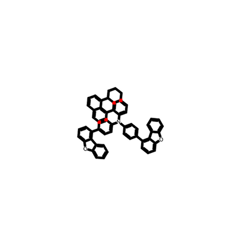 c1ccc(N(c2ccc(-c3cccc4oc5ccccc5c34)cc2)c2ccc(-c3cccc4oc5ccccc5c34)cc2)c(-c2cccc3cccc(C4CCCCC4)c23)c1